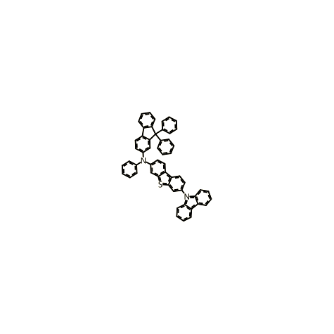 c1ccc(N(c2ccc3c(c2)C(c2ccccc2)(c2ccccc2)c2ccccc2-3)c2ccc3c(c2)sc2cc(-n4c5ccccc5c5ccccc54)ccc23)cc1